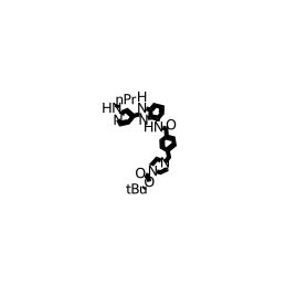 CCCNc1cc(-c2nc3c(NC(=O)c4ccc(CN5CCN(C(=O)OC(C)(C)C)CC5)cc4)cccc3[nH]2)ccn1